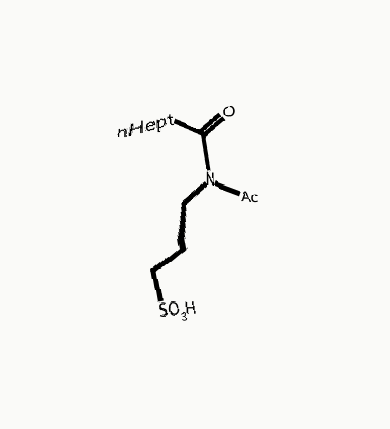 CCCCCCCC(=O)N(CCCS(=O)(=O)O)C(C)=O